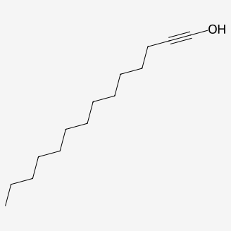 CCCCCCCCCCCCC#CO